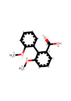 COc1ccccc1-c1c(OC)cccc1C(=O)O